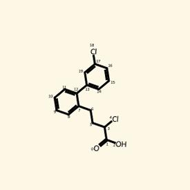 O=C(O)C(Cl)CCc1ccccc1-c1cccc(Cl)c1